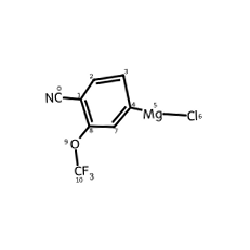 N#Cc1cc[c]([Mg][Cl])cc1OC(F)(F)F